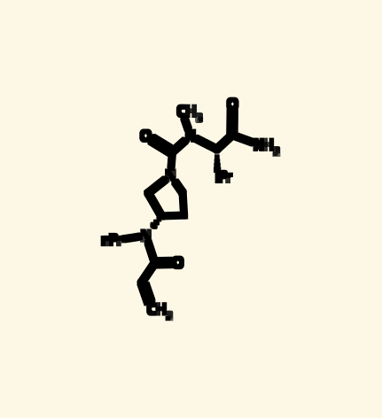 C=CC(=O)N(CCC)[C@H]1CCN(C(=O)N(C)[C@H](C(N)=O)C(C)C)C1